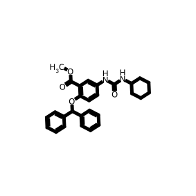 COC(=O)c1cc(NC(=O)NC2CCCCC2)ccc1OC(c1ccccc1)c1ccccc1